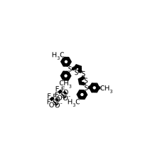 Cc1ccc([S+](c2ccc(C)cc2)c2ccc(Sc3ccc([S+](c4ccc(C)cc4)c4ccc(C)cc4)s3)s2)cc1.O=S(=O)([O-])C(F)(F)F.O=S(=O)([O-])C(F)(F)F